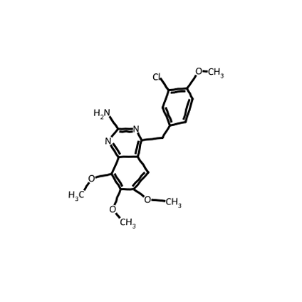 COc1ccc(Cc2nc(N)nc3c(OC)c(OC)c(OC)cc23)cc1Cl